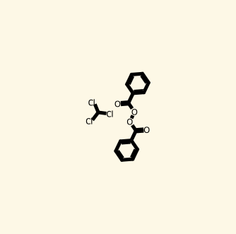 ClC(Cl)Cl.O=C(OOC(=O)c1ccccc1)c1ccccc1